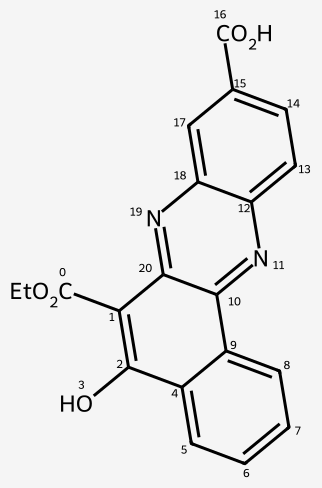 CCOC(=O)c1c(O)c2ccccc2c2nc3ccc(C(=O)O)cc3nc12